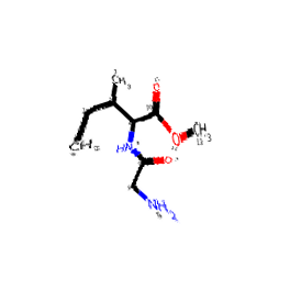 CCC(C)C(NC(=O)CN)C(=O)OC